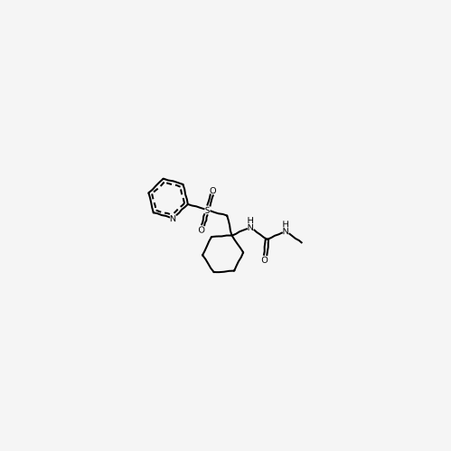 CNC(=O)NC1(CS(=O)(=O)c2ccccn2)CCCCC1